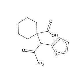 NC(=O)C(c1cccs1)C1(C(=O)O)CCCCC1